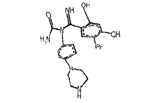 CC(C)c1cc(C(=N)N(C(N)=O)c2ccc(N3CCNCC3)cc2)c(O)cc1O